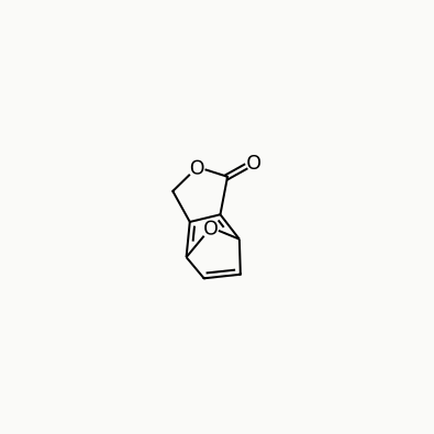 O=C1OCc2c1c1ccc2o1